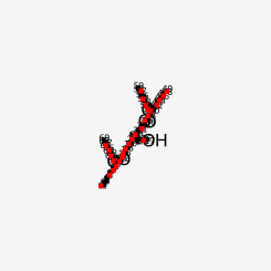 CC/C=C/C/C=C/CCCC(CCC(=O)CCCCCCCN(CCCCO)CCCCCCOC(=O)CCC(CCC/C=C/C/C=C/CC)OCC/C=C/C/C=C/CC)OCC/C=C/C/C=C/CC